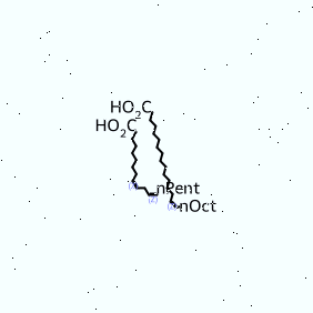 CCCCC/C=C\C/C=C\CCCCCCCC(=O)O.CCCCCCCC/C=C\CCCCCCCCCCCCCC(=O)O